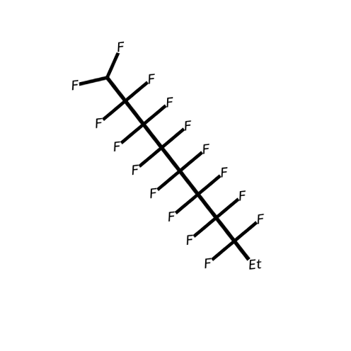 CCC(F)(F)C(F)(F)C(F)(F)C(F)(F)C(F)(F)C(F)(F)C(F)(F)C(F)F